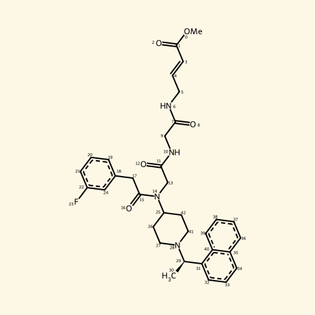 COC(=O)/C=C/CNC(=O)CNC(=O)CN(C(=O)Cc1cccc(F)c1)C1CCN([C@H](C)c2cccc3ccccc23)CC1